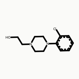 OCCN1CCN(c2ccccc2Cl)CC1